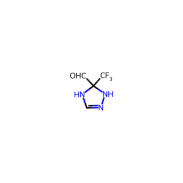 O=CC1(C(F)(F)F)NC=NN1